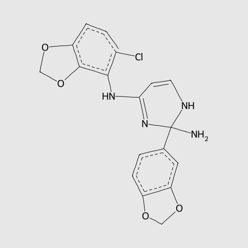 NC1(c2ccc3c(c2)OCO3)N=C(Nc2c(Cl)ccc3c2OCO3)C=CN1